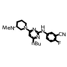 CCCCc1cc(N2CCC[C@@H](NC)C2)nc(Nc2ccc(F)c(C#N)c2)n1